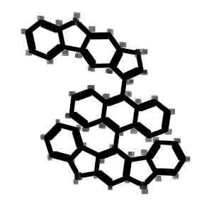 c1ccc2c(c1)oc1cc3oc4ccccc4c3c(-c3c4ccccc4c(-c4csc5cc6sc7ccccc7c6cc45)c4ccccc34)c12